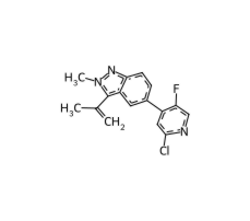 C=C(C)c1c2cc(-c3cc(Cl)ncc3F)ccc2nn1C